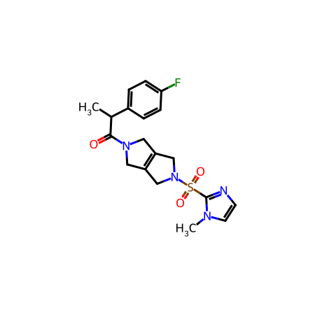 CC(C(=O)N1CC2=C(C1)CN(S(=O)(=O)c1nccn1C)C2)c1ccc(F)cc1